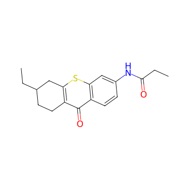 CCC(=O)Nc1ccc2c(=O)c3c(sc2c1)CC(CC)CC3